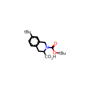 CC(C)(C)OC(=O)N1Cc2cc(C(C)(C)C)ccc2CC1C(=O)O